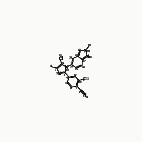 Cc1nc(-c2ccc(C#N)c(F)c2)n(-c2ccc3nn(C)cc3c2)c1Cl